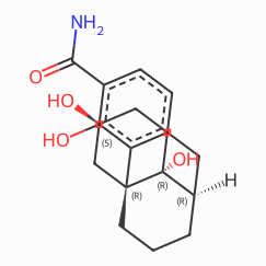 NC(=O)c1ccc2c(c1O)[C@]13CCC[C@H](C2)[C@]1(O)CC[C@H](O)C3